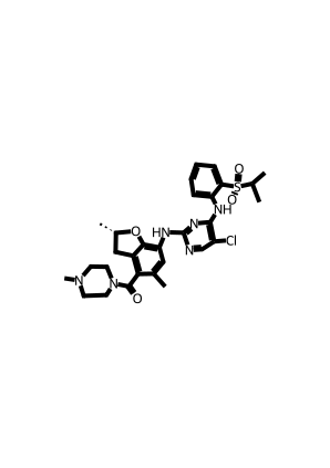 Cc1cc(Nc2ncc(Cl)c(Nc3ccccc3S(=O)(=O)C(C)C)n2)c2c(c1C(=O)N1CCN(C)CC1)C[C@H](C)O2